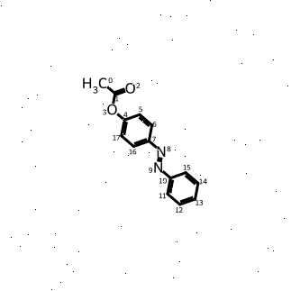 CC(=O)Oc1ccc(N=Nc2ccccc2)cc1